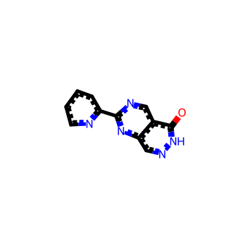 O=c1[nH]ncc2nc(-c3ccccn3)ncc12